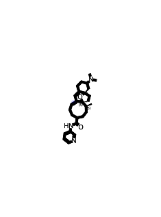 C[C@H]1CCC(C(=O)Nc2cccnc2)CC/C=C2/C=C3CCC(N(C)C)C[C@]34CC[C@@]21O4